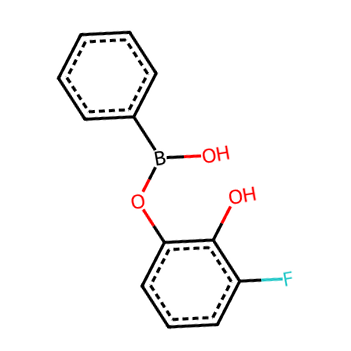 OB(Oc1cccc(F)c1O)c1ccccc1